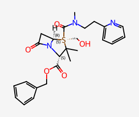 CN(CCc1ccccn1)C(=O)[S@]1(CO)[C@@H]2CC(=O)N2[C@@H](C(=O)OCc2ccccc2)C1(C)C